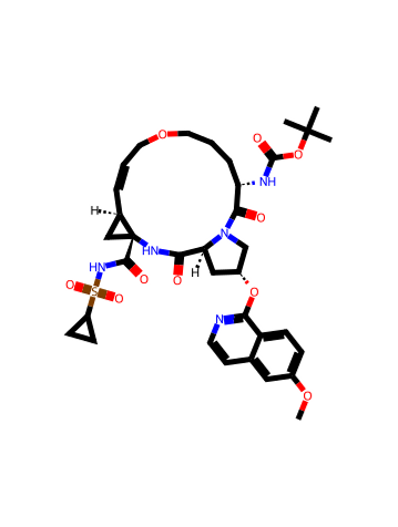 COc1ccc2c(O[C@@H]3C[C@H]4C(=O)N[C@]5(C(=O)NS(=O)(=O)C6CC6)C[C@H]5/C=C\COCCC[C@H](NC(=O)OC(C)(C)C)C(=O)N4C3)nccc2c1